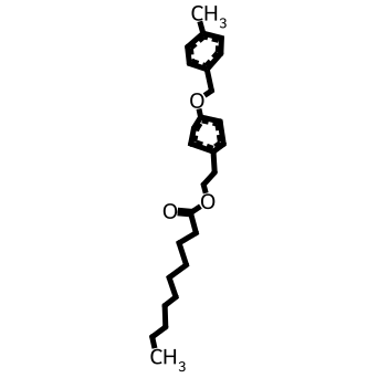 CCCCCCCCCC(=O)OCCc1ccc(OCc2ccc(C)cc2)cc1